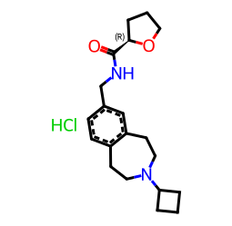 Cl.O=C(NCc1ccc2c(c1)CCN(C1CCC1)CC2)[C@H]1CCCO1